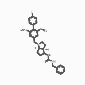 CCOc1cc(CN2CC[C@H]3C(NC(=O)NCc4ccccc4)CC[C@H]32)cc(OC)c1-c1ccc(F)cc1